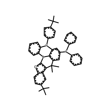 CC(C)(C)c1ccc(N2c3ccccc3B3c4oc5ccc(C(C)(C)C)cc5c4C(C)(C)c4cc(N(c5ccccc5)c5ccccc5)cc2c43)cc1